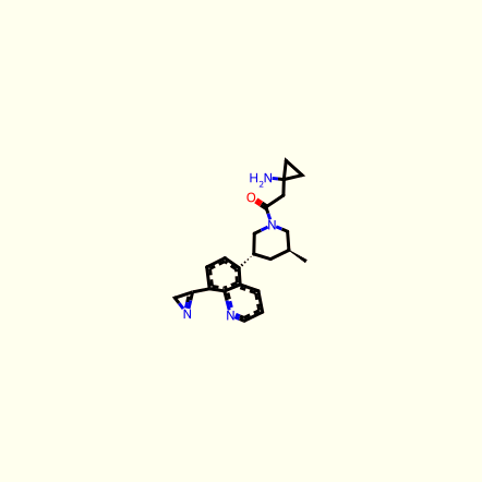 C[C@H]1C[C@H](c2ccc(C3=NC3)c3ncccc23)CN(C(=O)CC2(N)CC2)C1